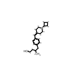 CC(CCO)Cc1ccc(C=C2CCN(C3CCC3)CC2)cc1